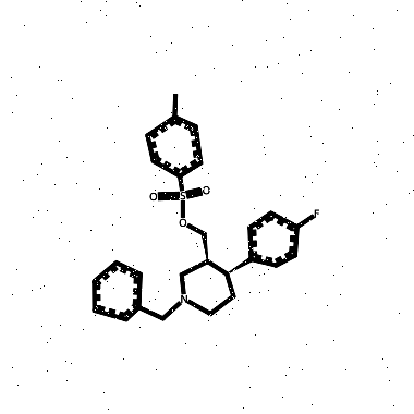 Cc1ccc(S(=O)(=O)OC[C@@H]2CN(Cc3ccccc3)CC[C@@H]2c2ccc(F)cc2)cc1